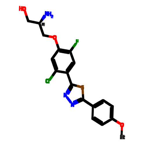 CCOc1ccc(-c2nnc(-c3cc(F)c(OC[C@H](N)CO)cc3Cl)s2)cc1